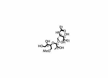 CCC(=O)N[C@@H](CO[C@@H](OC(COC)[C@H](O)CO)[C@H](C)O)[C@H](O)[C@H](O)CC